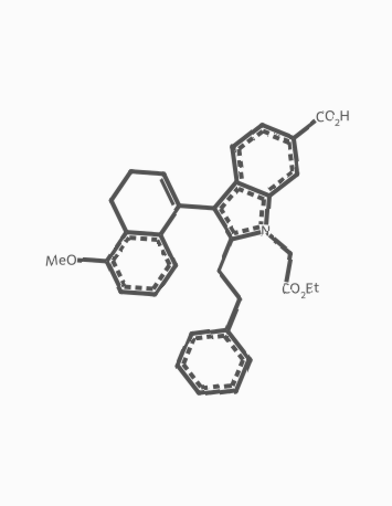 CCOC(=O)Cn1c(CCc2ccccc2)c(C2=CCCc3c(OC)cccc32)c2ccc(C(=O)O)cc21